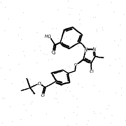 Cc1nn(-c2cccc(C(=O)O)c2)c(OCc2ccc(C(=O)OC(C)(C)C)cc2)c1Cl